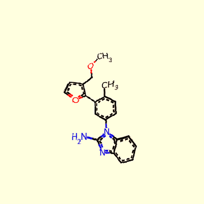 COCc1ccoc1-c1cc(-n2c(N)nc3ccccc32)ccc1C